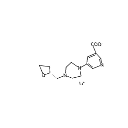 O=C([O-])c1cncc(N2CCN(C[C@H]3CCO3)CC2)c1.[Li+]